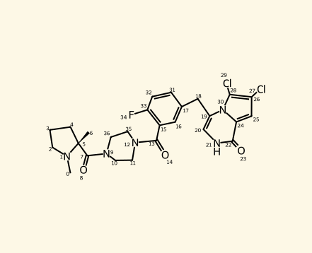 CN1CCC[C@]1(C)C(=O)N1CCN(C(=O)c2cc(Cc3c[nH]c(=O)c4cc(Cl)c(Cl)n34)ccc2F)CC1